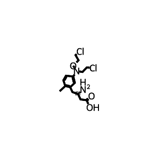 Cc1ccc(N(CCCl)OCCCl)cc1C[C@@H](N)CC(=O)O